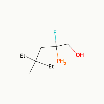 CCC(C)(CC)CC(F)(P)CO